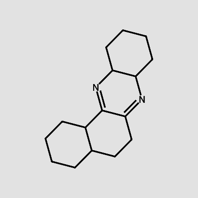 C1CCC2C3=NC4CCCCC4N=C3CCC2C1